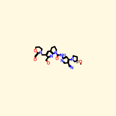 CO[C@H]1CCN(c2cc(NC(=O)N3CCCc4cc(CN5CCCOC5=C=O)c(C=O)nc43)ncc2C#N)C1